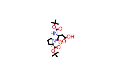 CC(C)(C)OC(=O)NC(CC(=O)O)C(=O)N1CCC[C@H]1C(=O)OC(C)(C)C